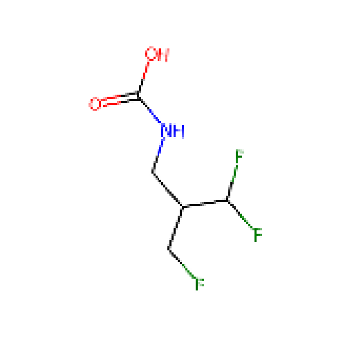 O=C(O)NCC(CF)C(F)F